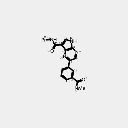 CNC(=O)c1cccc(-c2cnc3[nH]cc(C(=O)NC(C)C)c3n2)c1